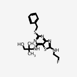 CC(C)(CO)Nc1nc(SCc2ccccc2)nc2nc(NCCF)sc12